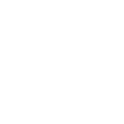 COC(=O)c1ccc(Nc2nn(C3CCC[C@@H]3C)cc2C(N)=O)cc1B1OC(C)(C)C(C)(C)O1